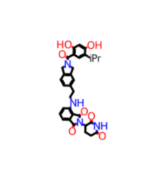 CC(C)c1cc(C(=O)N2Cc3ccc(CCNc4cccc5c4C(=O)N(C4CCC(=O)NC4=O)C5=O)cc3C2)c(O)cc1O